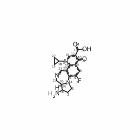 N[C@@H]1CCN2c3c(F)cc4c(=O)c(C(=O)O)cn(C5CC5)c4c3C=NC[C@H]12